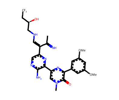 COc1cc(OC)cc(-c2nc(-c3nc(/C(=C/NC[C@H](O)CC(F)(F)F)C(C)=N)cnc3N)cn(C)c2=O)c1